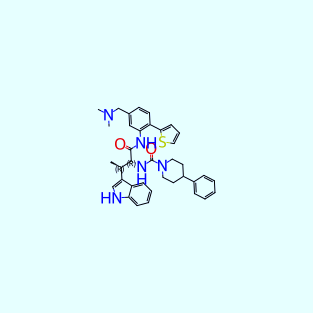 C[C@H](c1c[nH]c2ccccc12)[C@@H](NC(=O)N1CCC(c2ccccc2)CC1)C(=O)Nc1cc(CN(C)C)ccc1-c1cccs1